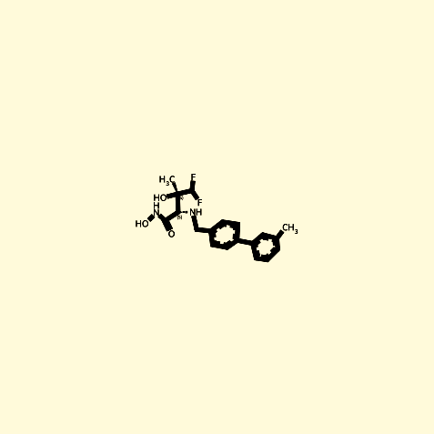 Cc1cccc(-c2ccc(CN[C@H](C(=O)NO)[C@](C)(O)C(F)F)cc2)c1